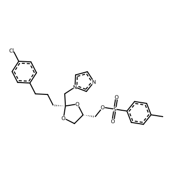 Cc1ccc(S(=O)(=O)OC[C@@H]2CO[C@@](CCCc3ccc(Cl)cc3)(Cn3ccnc3)O2)cc1